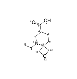 CCN1CC(C(=O)O)CCC12COC2